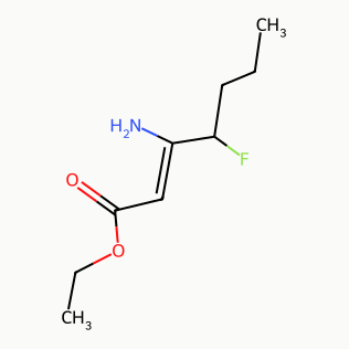 CCCC(F)/C(N)=C/C(=O)OCC